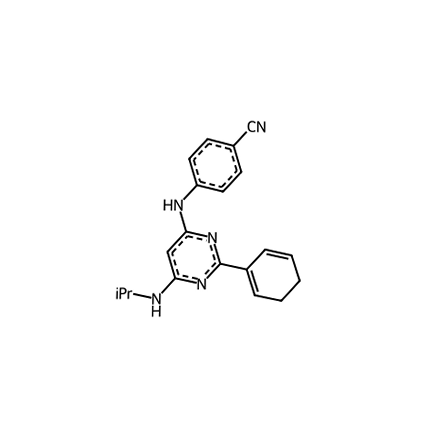 CC(C)Nc1cc(Nc2ccc(C#N)cc2)nc(C2=CCCC=C2)n1